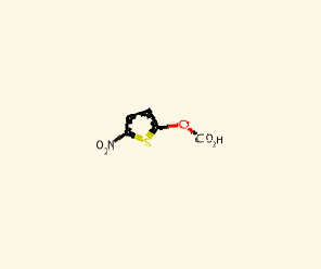 O=C(O)Oc1ccc([N+](=O)[O-])s1